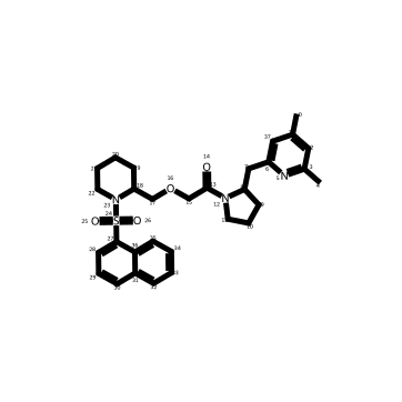 Cc1cc(C)nc(CC2CCCN2C(=O)COCC2CCCCN2S(=O)(=O)c2cccc3ccccc23)c1